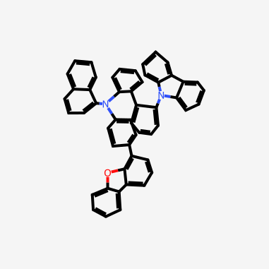 c1ccc(N(c2ccc(-c3cccc4c3oc3ccccc34)cc2)c2cccc3ccccc23)c(-c2ccccc2-n2c3ccccc3c3ccccc32)c1